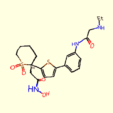 CCNCC(=O)Nc1cccc(-c2ccc([C@@]3(CC(=O)NO)CCCCS3(=O)=O)s2)c1